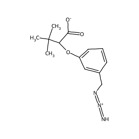 CC(C)(C)C(Oc1cccc(CN=[N+]=N)c1)C(=O)[O-]